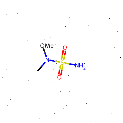 CON(C)S(N)(=O)=O